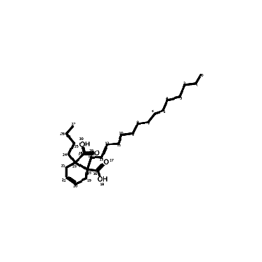 CCCCCCCCCCCCCCCC1(C(=O)O)CC=CCC1(CCCC)C(=O)O